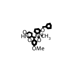 COc1ccc(C(C2CCC(=O)NC2=O)n2c(=O)n(C)c3c(OCc4ccccc4)cccc32)cc1